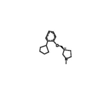 CN1CC[C@H](COc2ccccc2C2CCCC2)C1